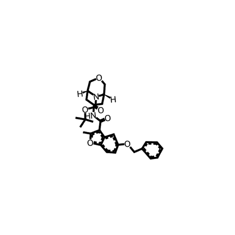 Cc1oc2ccc(OCc3ccccc3)cc2c1C(=O)NC1C[C@H]2COC[C@@H](C1)N2C(=O)OC(C)(C)C